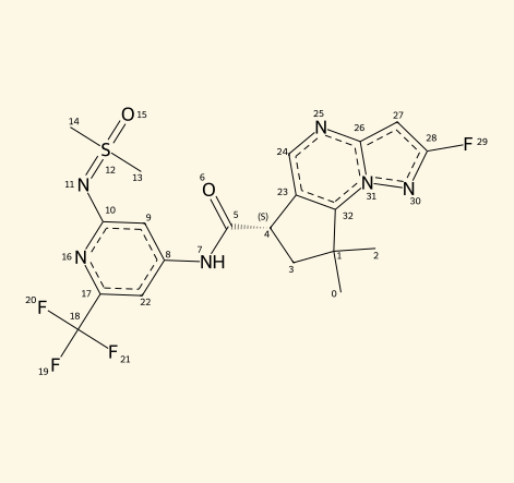 CC1(C)C[C@H](C(=O)Nc2cc(N=S(C)(C)=O)nc(C(F)(F)F)c2)c2cnc3cc(F)nn3c21